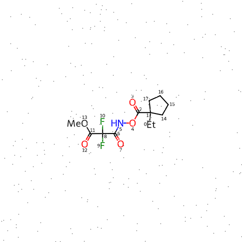 CCC1(C(=O)ONC(=O)C(F)(F)C(=O)OC)CCCC1